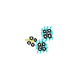 Fc1c(F)c(F)c([B-](c2c(F)c(F)c(F)c(F)c2F)(c2c(F)c(F)c(F)c(F)c2F)c2c(F)c(F)c(F)c(F)c2F)c(F)c1F.Fc1c(F)c(F)c([B-](c2c(F)c(F)c(F)c(F)c2F)(c2c(F)c(F)c(F)c(F)c2F)c2c(F)c(F)c(F)c(F)c2F)c(F)c1F.c1ccc([SH+]c2ccccc2)cc1.c1ccc([SH+]c2ccccc2)cc1